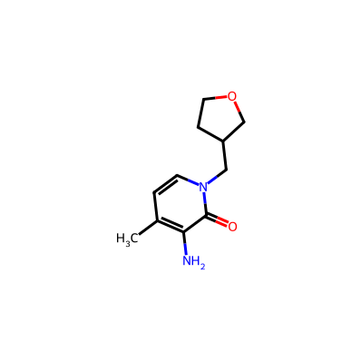 Cc1ccn(CC2CCOC2)c(=O)c1N